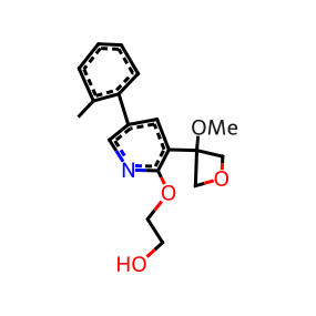 COC1(c2cc(-c3ccccc3C)cnc2OCCO)COC1